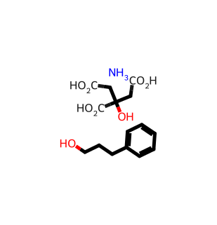 N.O=C(O)CC(O)(CC(=O)O)C(=O)O.OCCCc1ccccc1